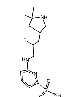 CC1(C)CC(CC(F)CNc2cccc(S(N)(=O)=O)n2)CN1